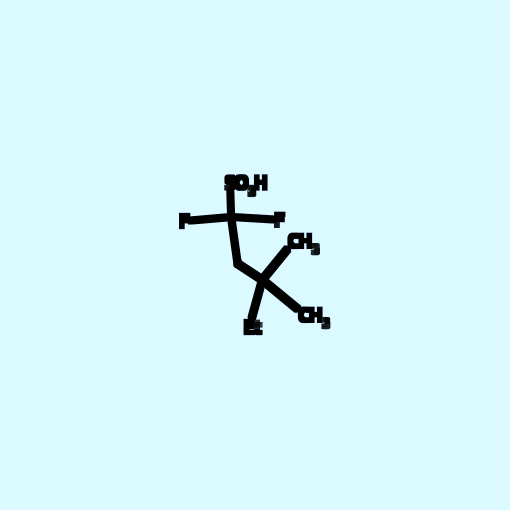 CCC(C)(C)CC(F)(F)S(=O)(=O)O